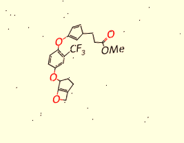 COC(=O)CCC1C=CC(Oc2ccc(OC3CCC4=C3OC4)cc2C(F)(F)F)=C1